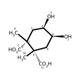 C[C@@]1(C(=O)O)C[C@@H](O)[C@@H](O)C[C@]1(C)C(=O)O